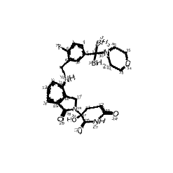 BC(B)(c1ccc(F)c(CNc2cccc3c2CN(C2(O)CCC(=O)NC2=O)C3=O)c1)N1CCOCC1